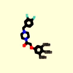 COc1cc(OCC(=O)N2CCN(Cc3ccc(F)c(F)c3)CC2)cc(OC)c1OC